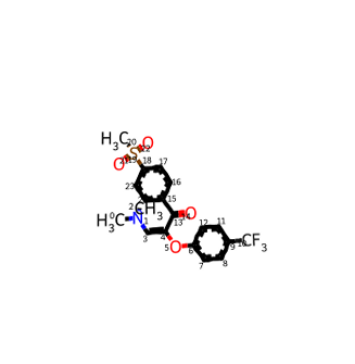 CN(C)/C=C(/Oc1ccc(C(F)(F)F)cc1)C(=O)c1ccc(S(C)(=O)=O)cc1